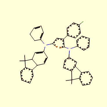 CC1(C)c2ccccc2-c2cc(N(c3ccccc3)c3sc(N(C4=CC5C(C=C4)c4ccccc4C5(C)C)C4=CC=CCC4)cc3-c3ccc(Br)cc3)ccc21